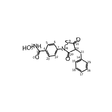 O=C(NO)c1ccc(N2SC(=O)C(Cc3ccccc3)C2=O)cc1